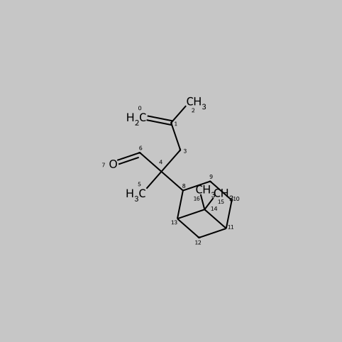 C=C(C)CC(C)(C=O)C1CCC2CC1C2(C)C